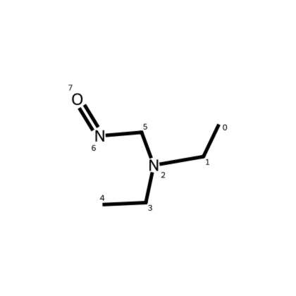 CCN(CC)CN=O